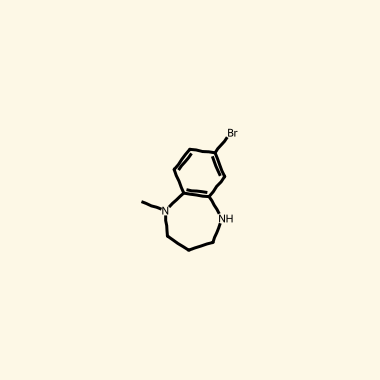 CN1CCCNc2cc(Br)ccc21